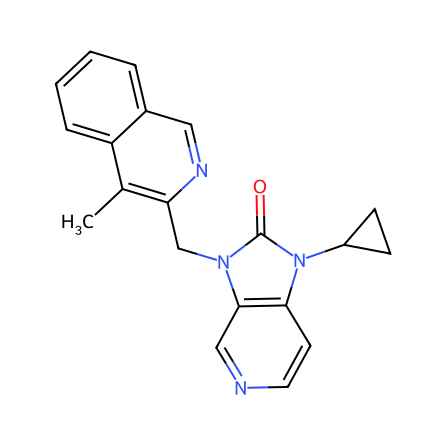 Cc1c(Cn2c(=O)n(C3CC3)c3ccncc32)ncc2ccccc12